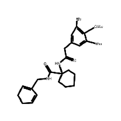 COc1c(C(C)(C)C)cc(CC(=O)NC2(C(=O)NCC3=CCCC=C3)CCCCC2)cc1C(C)(C)C